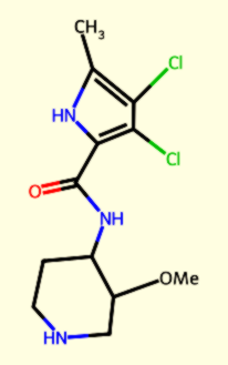 COC1CNCCC1NC(=O)c1[nH]c(C)c(Cl)c1Cl